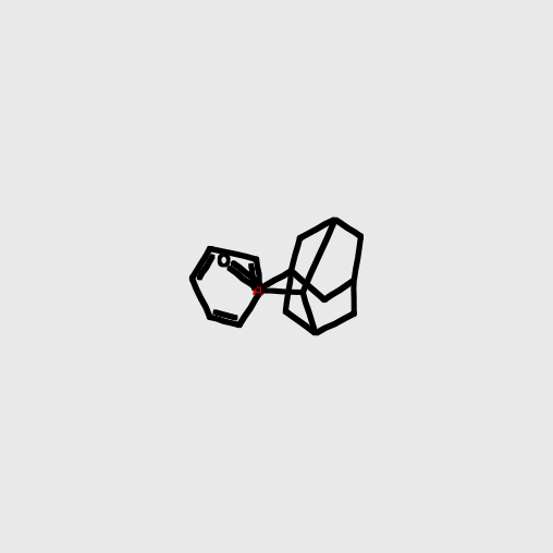 O=CC12CC3CC(C1)C(c1ccccc1)C(C3)C2